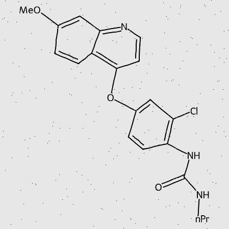 CCCNC(=O)Nc1ccc(Oc2ccnc3cc(OC)ccc23)cc1Cl